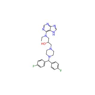 CCN(CC(O)CN1CCN(C(c2ccc(F)cc2)c2ccc(F)cc2)CC1)c1ncnc2nc[nH]c12